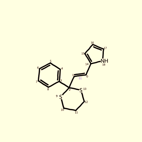 C(=C\C1(c2ccccc2)SCCCS1)/c1ccc[nH]1